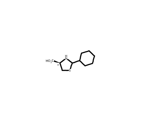 O=C(O)[C@@H]1CSC(C2CCCCC2)N1